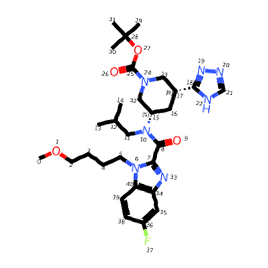 COCCCCn1c(C(=O)N(CC(C)C)[C@H]2C[C@@H](c3nnc[nH]3)CN(C(=O)OC(C)(C)C)C2)nc2cc(F)ccc21